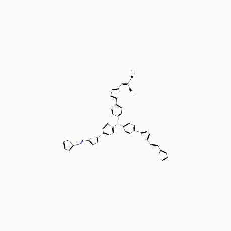 N#CC(C#N)=Cc1ccc(-c2ccc(N(c3ccc(-c4ccc(/C=C/C5=CC=CC5)s4)cc3)c3ccc(-c4ccc(/C=C/c5cccs5)s4)cc3)cc2)s1